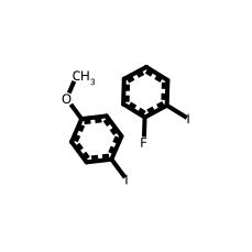 COc1ccc(I)cc1.Fc1ccccc1I